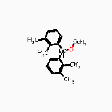 Cc1ccc[c]([GeH]([O][GeH3])[c]2cccc(C)c2C)c1C